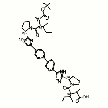 CCC(C)[C@@H](C(=O)N1CCC[C@H]1c1ncc(-c2ccc(-c3ccc(-c4c[nH]c([C@@H]5CCCN5C(=O)[C@H](C(C)CC)N(C)C(=O)OC(C)(C)C)n4)cc3)cc2)[nH]1)N(C)C(=O)O